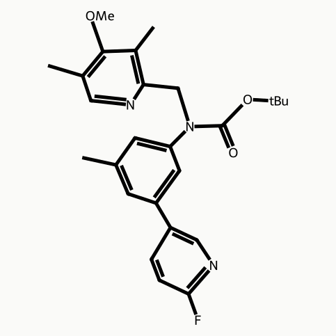 COc1c(C)cnc(CN(C(=O)OC(C)(C)C)c2cc(C)cc(-c3ccc(F)nc3)c2)c1C